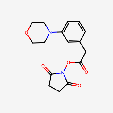 O=C(Cc1cccc(N2CCOCC2)c1)ON1C(=O)CCC1=O